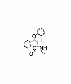 CCNC(CC(Oc1ccccc1I)c1ccccc1)OC=O